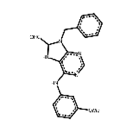 COc1cccc(Nc2ncnc3c2NC(C=O)N3Cc2ccccc2)c1